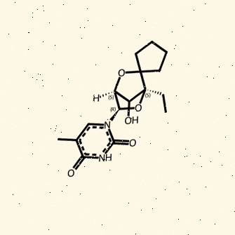 CC[C@@]12O[C@@H](n3cc(C)c(=O)[nH]c3=O)[C@@H](OC13CCCC3)C2O